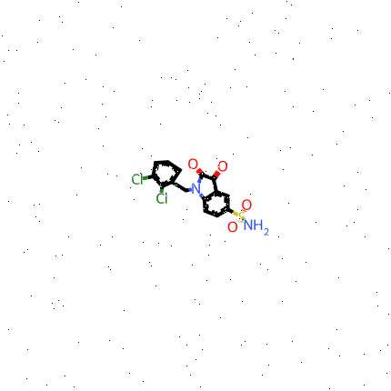 NS(=O)(=O)c1ccc2c(c1)C(=O)C(=O)N2Cc1cccc(Cl)c1Cl